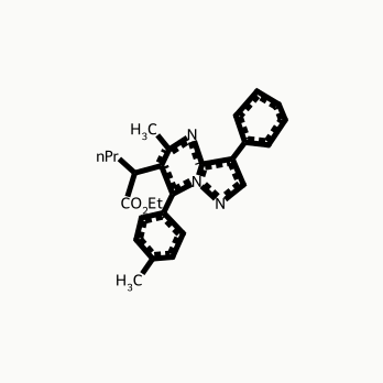 CCCC(C(=O)OCC)c1c(C)nc2c(-c3ccccc3)cnn2c1-c1ccc(C)cc1